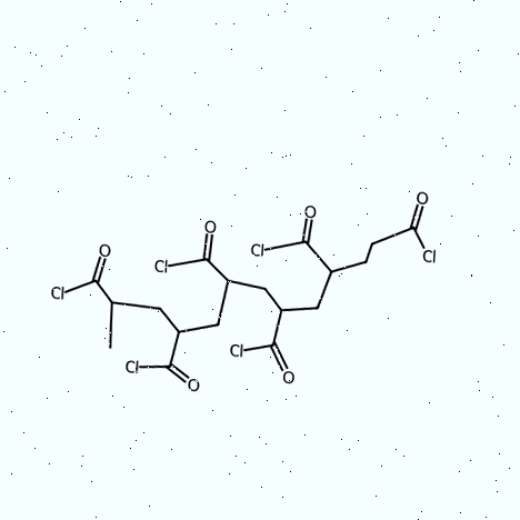 CC(CC(CC(CC(CC(CCC(=O)Cl)C(=O)Cl)C(=O)Cl)C(=O)Cl)C(=O)Cl)C(=O)Cl